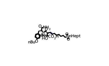 CCCCCCCS(=O)(=O)CCCCCC/C=C/[C@H](C(=O)N[C@@H](Cc1ccc(OCCCC)cc1)C(N)=O)[C@@](O)(CCCC)C(=O)O